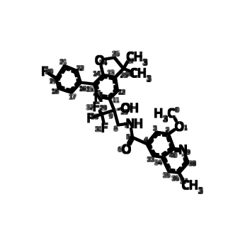 COc1cc(C(=O)NC[C@](O)(c2cc3c(c(-c4ccc(F)cc4)n2)OCC3(C)C)C(F)(F)F)cc2cc(C)cnc12